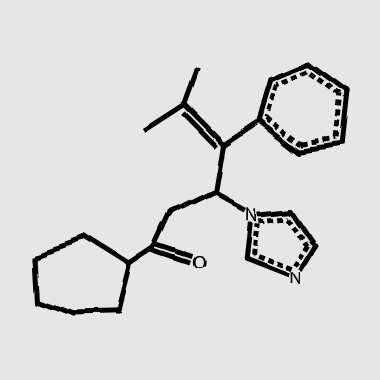 CC(C)=C(c1ccccc1)C(CC(=O)C1CCCCC1)n1ccnc1